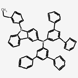 CCc1cccc(-n2c3ccccc3c3cc(N(c4cc(-c5ccccc5)cc(-c5ccccc5)c4)c4cc(-c5ccccc5)cc(-c5ccccc5)c4)ccc32)c1